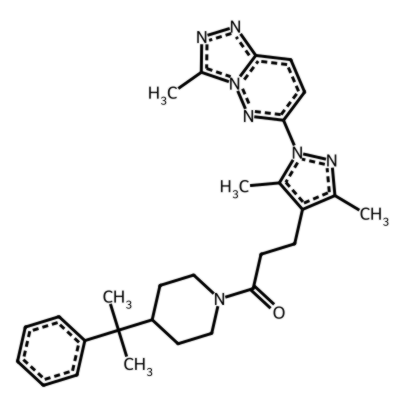 Cc1nn(-c2ccc3nnc(C)n3n2)c(C)c1CCC(=O)N1CCC(C(C)(C)c2ccccc2)CC1